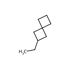 CCC1CC2(CCC2)C1